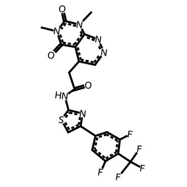 Cn1c(=O)c2c(CC(=O)Nc3nc(-c4cc(F)c(C(F)(F)F)c(F)c4)cs3)cnnc2n(C)c1=O